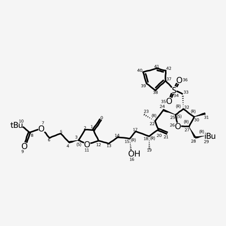 C=C1C[C@H](CCCOC(=O)C(C)(C)C)OC1CC[C@@H](O)C[C@@H](C)C(=C)[C@H](C)C[C@@H]1O[C@H](C[C@H](C)CC)[C@H](C)[C@H]1CS(=O)(=O)c1ccccc1